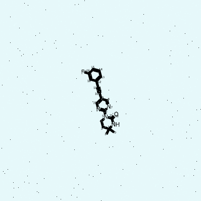 CC1(C)CCN(c2ncc(C#Cc3cccc(F)c3)cn2)C(=O)N1